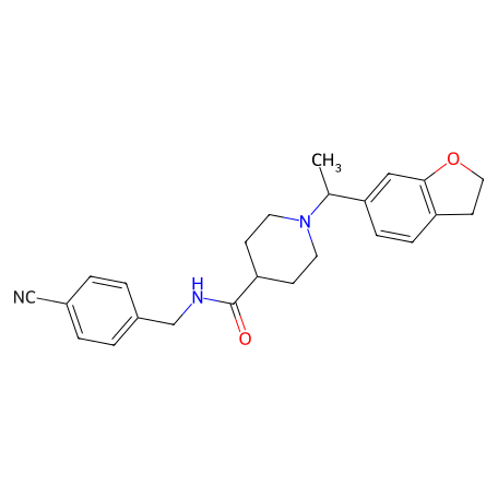 CC(c1ccc2c(c1)OCC2)N1CCC(C(=O)NCc2ccc(C#N)cc2)CC1